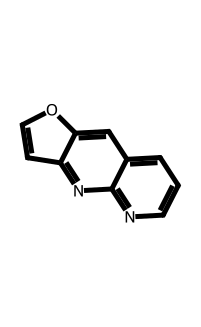 c1cnc2nc3ccoc3cc2c1